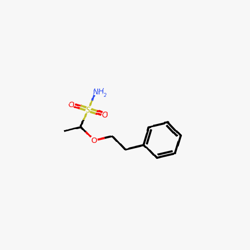 CC(OCCc1ccccc1)S(N)(=O)=O